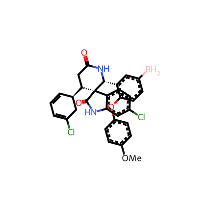 Bc1ccc(Oc2ccc(OC)cc2)c([C@H]2NC(=O)CC([C@@H]3C=CC=C(Cl)C3)[C@]23C(=O)Nc2cc(Cl)ccc23)c1